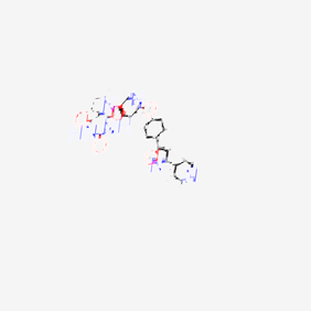 O=C1NC(=O)C2(CCCN2c2ccc(Oc3ccc(-c4cc(-c5ccncc5)no4)cc3)nc2)C(=O)N1